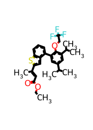 CCOC(=O)C=C(C)c1cc2c(-c3cc(C(C)C)cc(C(C)C)c3OCC(F)(F)F)cccc2s1